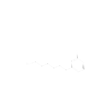 Clc1cccc(CCCCCCBr)c1